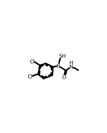 CNC(=O)N(S)c1ccc(Cl)c(Cl)c1